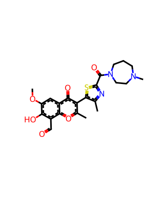 COc1cc2c(=O)c(-c3sc(C(=O)N4CCCN(C)CC4)nc3C)c(C)oc2c(C=O)c1O